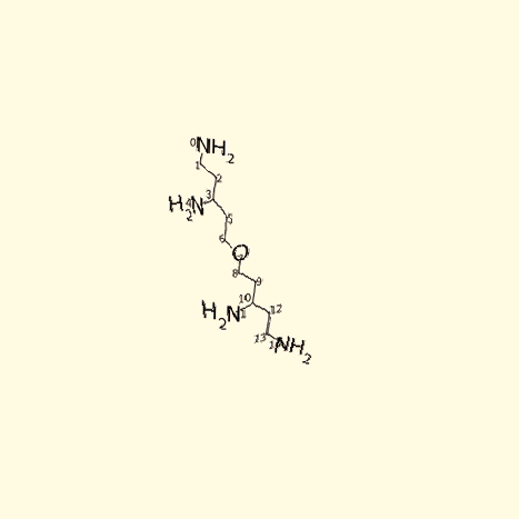 NCCC(N)CCOCCC(N)CCN